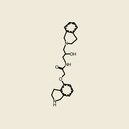 O=C(COc1cccc2c1CCNC2)NCC(O)CN1CCc2ccccc2C1